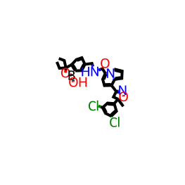 CCC1(CC)OB(O)c2cc(CNC(=O)c3ccc(C4=NOC(C)(c5cc(Cl)cc(Cl)c5)C4)c4cccn34)ccc21